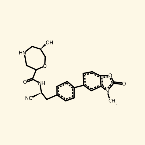 Cn1c(=O)oc2ccc(-c3ccc(C[C@@H](C#N)NC(=O)C4CNC[C@@H](O)CO4)cc3)cc21